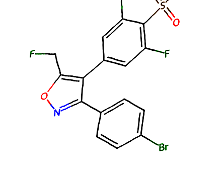 CS(=O)(=O)c1c(F)cc(-c2c(-c3ccc(Br)cc3)noc2CF)cc1F